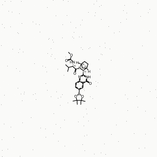 COC(=O)N[C@H](C(=O)N1[C@@H]2CC[C@@H](C2)[C@H]1c1nc2ccc(B3OC(C)(C)C(C)(C)O3)cc2c(=O)[nH]1)C(C)C